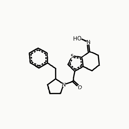 O=C(c1csc2c1CCC/C2=N/O)N1CCCC1Cc1ccccc1